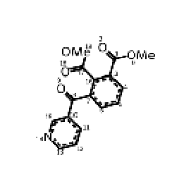 COC(=O)c1cccc(C(=O)c2cccnc2)c1C(=O)OC